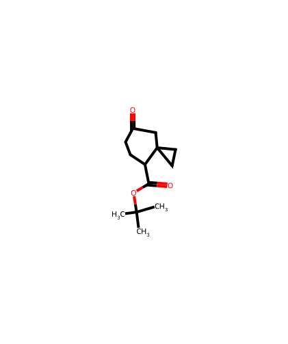 CC(C)(C)OC(=O)C1CCC(=O)CC12CC2